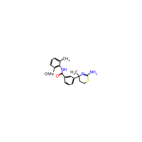 COc1cccc(C)c1NC(=O)c1cccc(C2(C)CCSC(N)=N2)c1